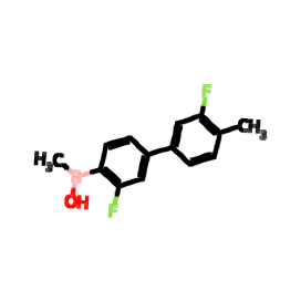 CB(O)c1ccc(-c2ccc(C)c(F)c2)cc1F